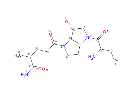 CC(C)CC(N)C(=O)N1CC(=O)C2C1CCN2C(=O)[CH]CC(C)C(N)=O